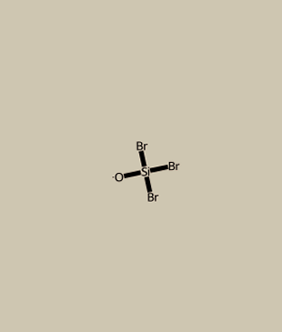 [O][Si](Br)(Br)Br